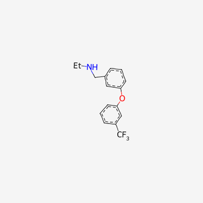 CCNCc1cccc(Oc2cccc(C(F)(F)F)c2)c1